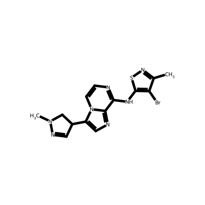 Cc1nsc(Nc2nccn3c(C4C=NN(C)C4)cnc23)c1Br